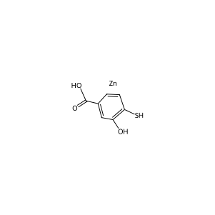 O=C(O)c1ccc(S)c(O)c1.[Zn]